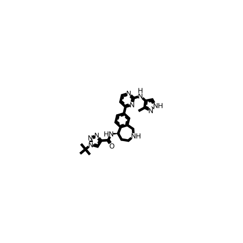 Cc1n[nH]cc1Nc1nccc(-c2ccc3c(c2)CNCC[C@H]3NC(=O)c2cn(C(C)(C)C)nn2)n1